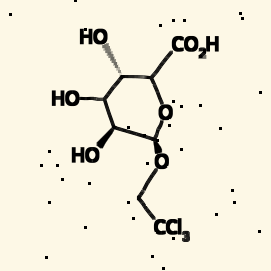 O=C(O)C1O[C@@H](OCC(Cl)(Cl)Cl)[C@@H](O)C(O)[C@@H]1O